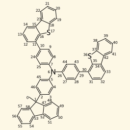 CC1(c2ccc(N(c3ccc(-c4cccc5c4sc4ccccc45)cc3)c3ccc(-c4cccc5c4sc4ccccc45)cc3)cc2)c2ccccc2-c2ccccc21